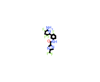 NC1=NC(c2cc(NC(=O)c3cnc(C(F)F)cn3)ccc2F)C(F)(F)CC1F